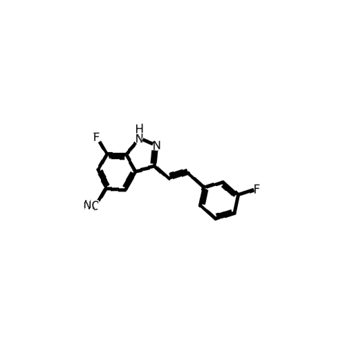 N#Cc1cc(F)c2[nH]nc(C=Cc3cccc(F)c3)c2c1